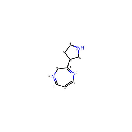 C1=CN=C(C2CCNC2)CN=C1